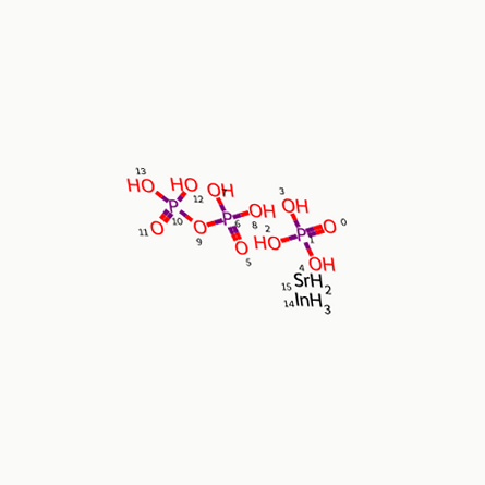 O=P(O)(O)O.O=P(O)(O)OP(=O)(O)O.[InH3].[SrH2]